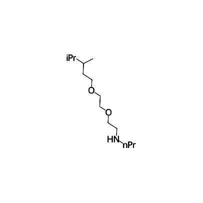 CCCNCCOCCOCCC(C)C(C)C